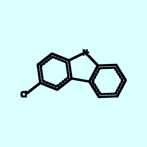 Clc1ccc2c(c1)-c1ccccc1[N]2